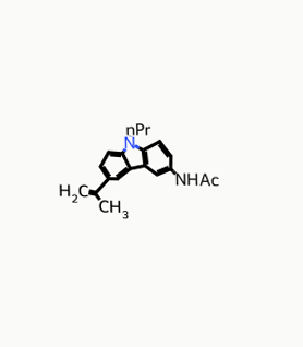 C=C(C)c1ccc2c(c1)c1cc(NC(C)=O)ccc1n2CCC